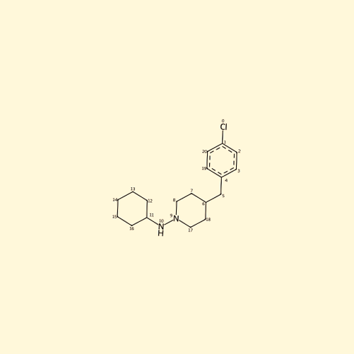 Clc1ccc(CC2CCN(NC3CCCCC3)CC2)cc1